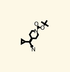 CC(C)(C)OC(=O)N1CCC(=C(C#N)C2CC2)CC1